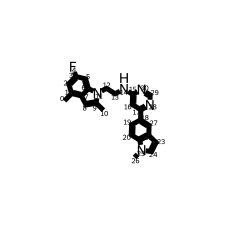 Cc1cc(F)cc2c1cc(C)n2CCNc1cc(-c2ccc3c(ccn3C)c2)ncn1